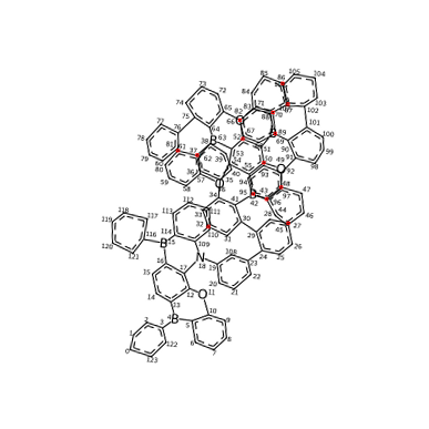 c1ccc(B2c3ccccc3Oc3c2ccc2c3N(c3cccc(-c4ccccc4-c4cccc(-c5ccccc5)c4B4c5ccccc5Oc5c6c(c7c(c54)Oc4ccccc4B7c4c(-c5ccccc5)cccc4-c4ccccc4)Oc4ccccc4B6c4c(-c5ccccc5)cccc4-c4ccccc4)c3)c3ccccc3B2c2ccccc2)cc1